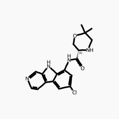 CC1(C)CN[C@H](C(=O)Nc2cc(Cl)cc3c2[nH]c2cnccc23)CO1